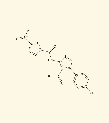 O=C(Nc1scc(-c2ccc(Cl)cc2)c1C(=O)O)c1ccc([N+](=O)[O-])o1